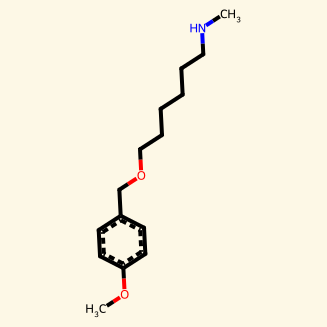 CNCCCCCCOCc1ccc(OC)cc1